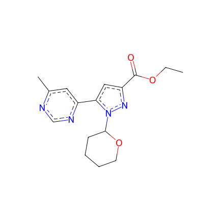 CCOC(=O)c1cc(-c2cc(C)ncn2)n(C2CCCCO2)n1